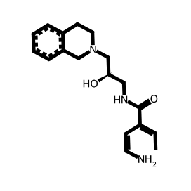 C/C=C(\C=C/N)C(=O)NC[C@@H](O)CN1CCc2ccccc2C1